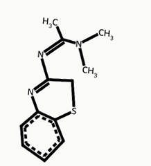 CC(=NC1=Nc2ccccc2SC1)N(C)C